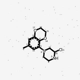 Cc1cc2c(c(N3CCNC(Cl)C3)c1)OCCO2